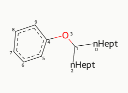 CCCCCCCC(CCCCCCC)Oc1ccccc1